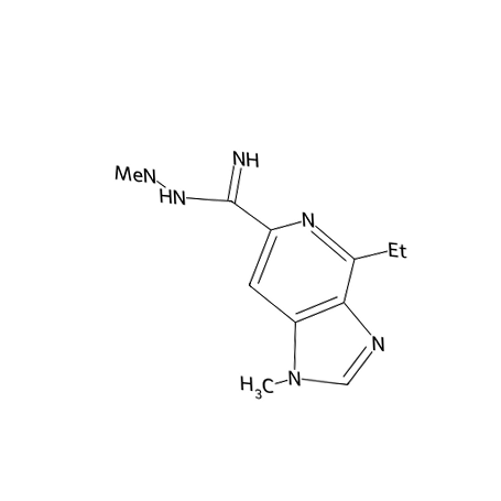 CCc1nc(C(=N)NNC)cc2c1ncn2C